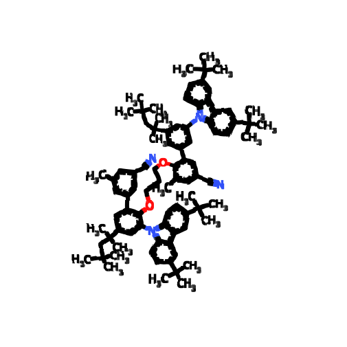 Cc1cc(C#N)cc(-c2cc(C(C)(C)CC(C)(C)C)cc(-n3c4ccc(C(C)(C)C)cc4c4cc(C(C)(C)C)ccc43)c2OCCCOc2c(C)cc(C#N)cc2-c2cc(-n3c4ccc(C(C)(C)C)cc4c4cc(C(C)(C)C)ccc43)cc(C(C)(C)CC(C)(C)C)c2)c1